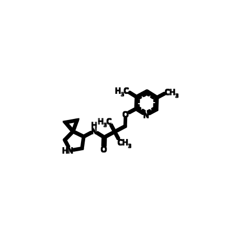 Cc1cnc(OCC(C)(C)C(=O)NC2CNCC23CC3)c(C)c1